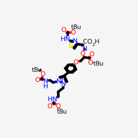 CC(C)(C)OC(=O)NCCCn1cc(-c2ccc(OCC(ON=C(C(=O)O)c3csc(NC(=O)OC(C)(C)C)n3)C(=O)OC(C)(C)C)cc2)c[n+]1CCNC(=O)OC(C)(C)C